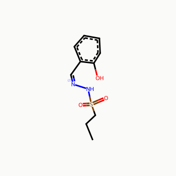 CCCS(=O)(=O)N/N=C\c1ccccc1O